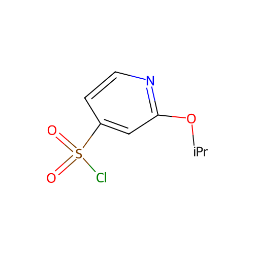 CC(C)Oc1cc(S(=O)(=O)Cl)ccn1